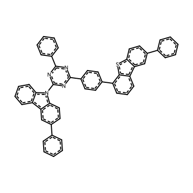 c1ccc(-c2ccc3sc4c(-c5ccc(-c6nc(-c7ccccc7)nc(-n7c8ccccc8c8cc(-c9ccccc9)ccc87)n6)cc5)cccc4c3c2)cc1